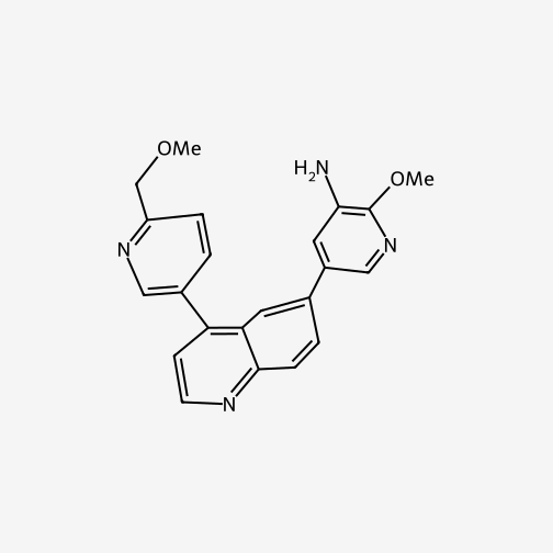 COCc1ccc(-c2ccnc3ccc(-c4cnc(OC)c(N)c4)cc23)cn1